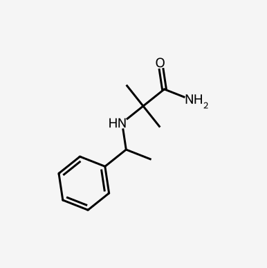 CC(NC(C)(C)C(N)=O)c1ccccc1